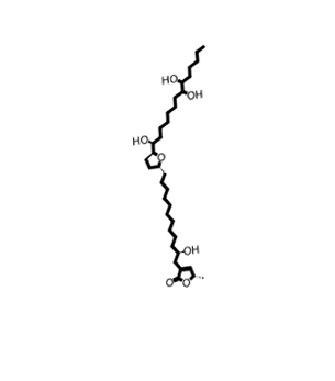 CCCCCC(O)C(O)CCCCCC[C@H](O)[C@@H]1CC[C@@H](CCCCCCCCCC[C@H](O)CC2=C[C@H](C)OC2=O)O1